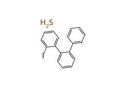 Ic1ccccc1-c1ccccc1-c1ccccc1.S